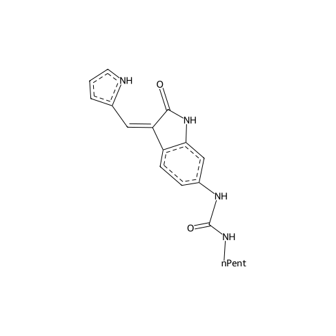 CCCCCNC(=O)Nc1ccc2c(c1)NC(=O)C2=Cc1ccc[nH]1